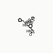 O=C(CCc1ccccc1)Nc1cc(-c2csc(=O)[nH]2)ccc1NS(=O)(=O)c1cccs1